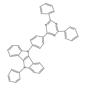 c1ccc(-c2nc(-c3ccccc3)nc(-c3ccc(-n4c5ccccc5c5c4c4ccccc4n5-c4ccccc4)cc3)n2)cc1